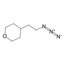 [N-]=[N+]=NCCC1CCOCC1